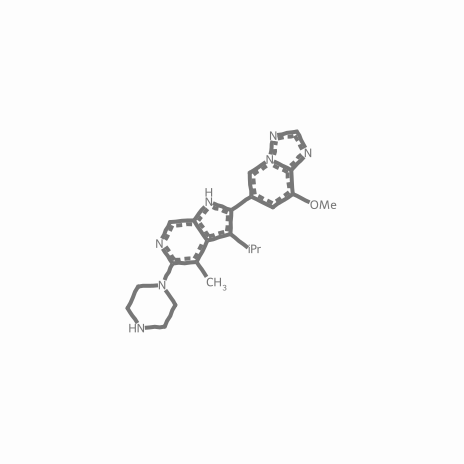 COc1cc(-c2[nH]c3cnc(N4CCNCC4)c(C)c3c2C(C)C)cn2ncnc12